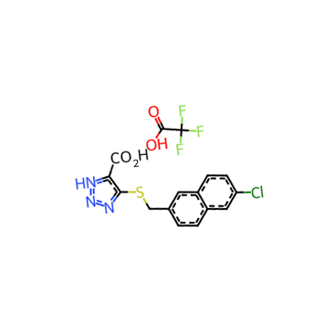 O=C(O)C(F)(F)F.O=C(O)c1[nH]nnc1SCc1ccc2cc(Cl)ccc2c1